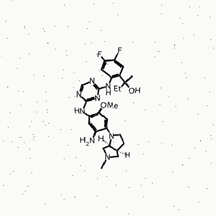 CCC(C)(O)c1cc(F)c(F)cc1Nc1ncnc(Nc2cc(N)c(N3CC[C@H]4CN(C)C[C@H]43)cc2OC)n1